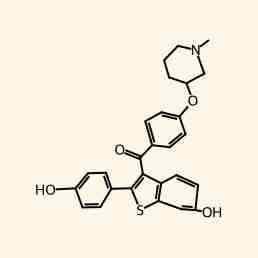 CN1CCCC(Oc2ccc(C(=O)c3c(-c4ccc(O)cc4)sc4cc(O)ccc34)cc2)C1